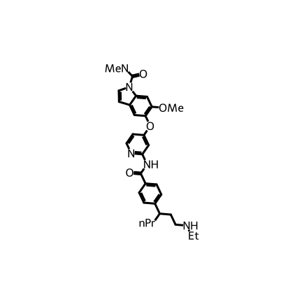 CCCC(CCNCC)c1ccc(C(=O)Nc2cc(Oc3cc4ccn(C(=O)NC)c4cc3OC)ccn2)cc1